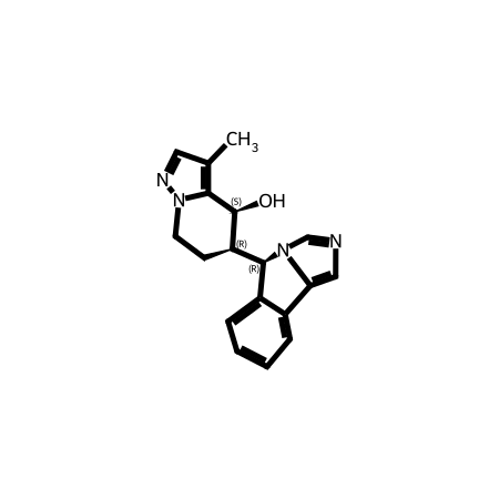 Cc1cnn2c1[C@@H](O)[C@@H]([C@@H]1c3ccccc3-c3cncn31)CC2